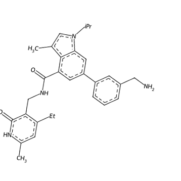 CCc1cc(C)[nH]c(=O)c1CNC(=O)c1cc(-c2cccc(CN)c2)cc2c1c(C)cn2C(C)C